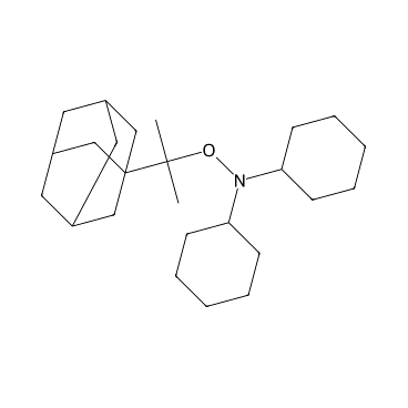 CC(C)(ON(C1CCCCC1)C1CCCCC1)C12CC3CC(CC(C3)C1)C2